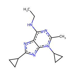 CCNc1nc(C)n(C2CC2)c2nc(C3CC3)nc1-2